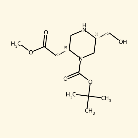 COC(=O)C[C@@H]1CN[C@H](CO)CN1C(=O)OC(C)(C)C